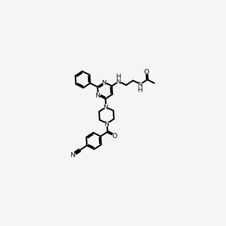 CC(=O)NCCNc1cc(N2CCN(C(=O)c3ccc(C#N)cc3)CC2)nc(-c2ccccc2)n1